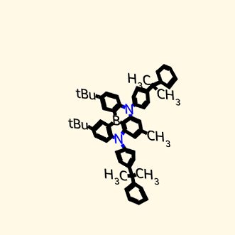 Cc1cc2c3c(c1)N(c1ccc(C(C)(C)C4C=CC=CC4)cc1)c1ccc(C(C)(C)C)cc1B3c1cc(C(C)(C)C)ccc1N2c1ccc(C(C)(C)c2ccccc2)cc1